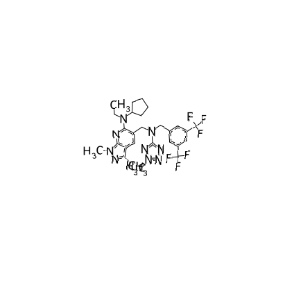 CCN(c1nc2c(cc1CN(Cc1cc(C(F)(F)F)cc(C(F)(F)F)c1)c1nnn(C)n1)c(C)nn2C)C1CCCC1